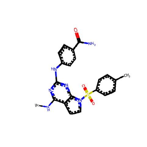 Cc1ccc(S(=O)(=O)n2ccc3c(NC(C)C)nc(Nc4ccc(C(N)=O)cc4)nc32)cc1